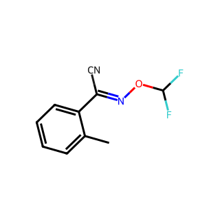 Cc1ccccc1C(C#N)=NOC(F)F